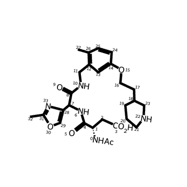 CC(=O)N[C@@H](CC(=O)O)C(=O)NC(C(=O)NCc1cc(OCCC2CCCNC2)ccc1C)c1coc(C)n1